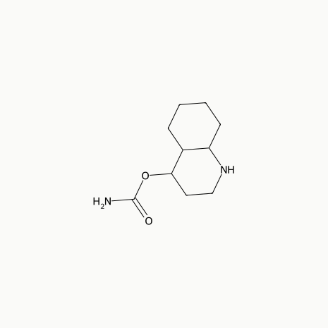 NC(=O)OC1CCNC2CCCCC21